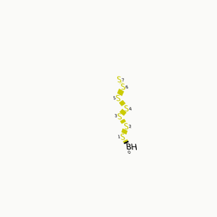 B=S=S=S=S=S=S=S